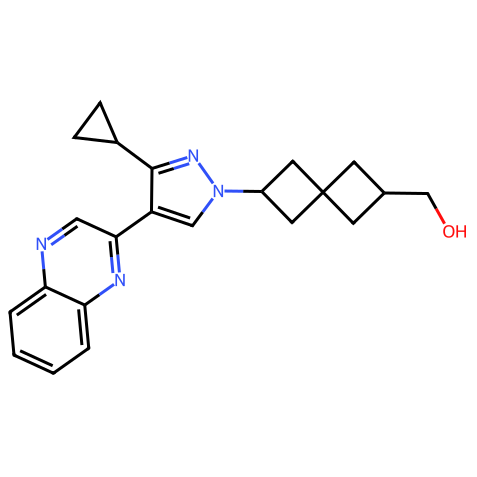 OCC1CC2(C1)CC(n1cc(-c3cnc4ccccc4n3)c(C3CC3)n1)C2